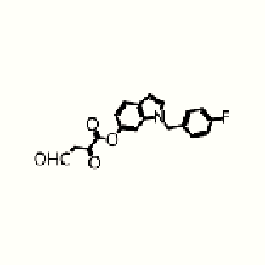 O=CCC(=O)C(=O)Oc1ccc2ccn(Cc3ccc(F)cc3)c2c1